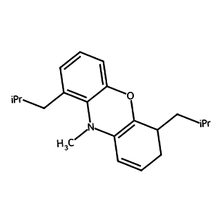 CC(C)Cc1cccc2c1N(C)C1=C(O2)C(CC(C)C)CC=C1